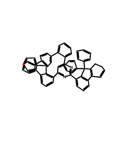 C1=CC2=C(CC1)C(c1ccccc1)(c1ccccc1)c1c2cccc1-c1nc(-c2ccccc2-c2ccc(-c3ccccc3)cc2)cc(-c2cccc3c2oc2ccccc23)n1